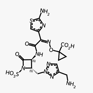 NCc1cnn(C[C@H]2[C@H](NC(=O)C(=NOC3(C(=O)O)CC3)c3csc(N)n3)C(=O)N2S(=O)(=O)O)n1